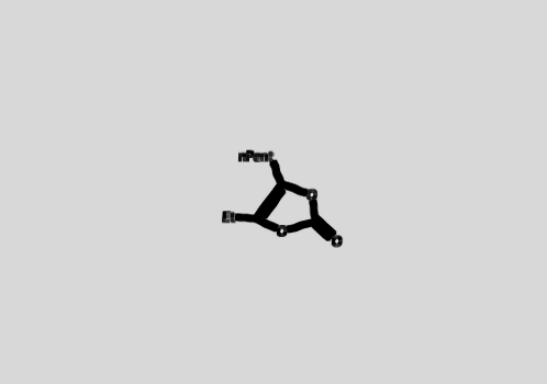 [CH2]Cc1oc(=O)oc1CCCCC